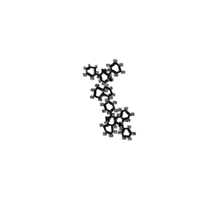 c1ccc(-c2cc(-c3ccc(-c4ccc(-c5nc6ccccc6c6c5c5ccccc5n6-c5ccccc5)cc4)c4ccccc34)nc(-c3ccccc3)n2)cc1